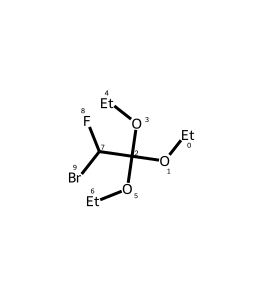 CCOC(OCC)(OCC)C(F)Br